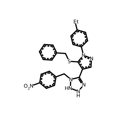 CCc1ccc(-n2ncc(C3=NNNN3Cc3ccc([N+](=O)[O-])cc3)c2SCc2ccccc2)cc1